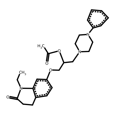 CCN1C(=O)CCc2ccc(OCC(CN3CCN(c4ccccc4)CC3)OC(C)=O)cc21